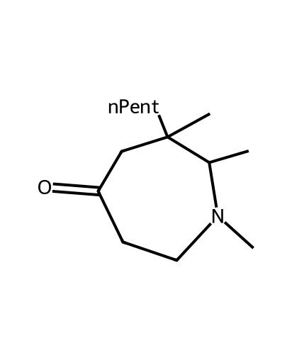 CCCCCC1(C)CC(=O)CCN(C)C1C